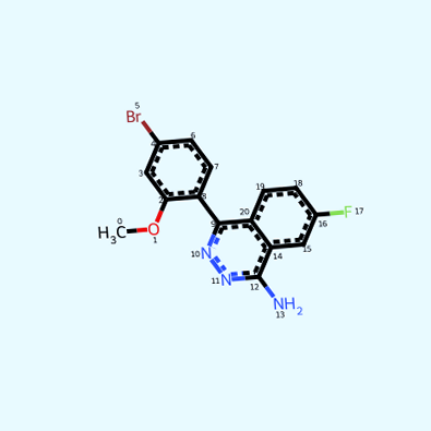 COc1cc(Br)ccc1-c1nnc(N)c2cc(F)ccc12